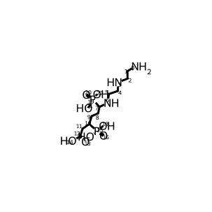 NCCNCCNC(CCC(CC(=O)O)P(=O)(O)O)P(=O)(O)O